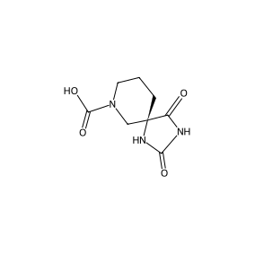 O=C1NC(=O)[C@]2(CCCN(C(=O)O)C2)N1